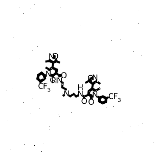 Cc1noc(C)c1-c1cc(C(=O)NCCCN(C)CCCNC(=O)c2cc(-c3c(C)noc3C)c(C)n(-c3cccc(C(F)(F)F)c3)c2=O)c(=O)n(-c2cccc(C(F)(F)F)c2)c1C